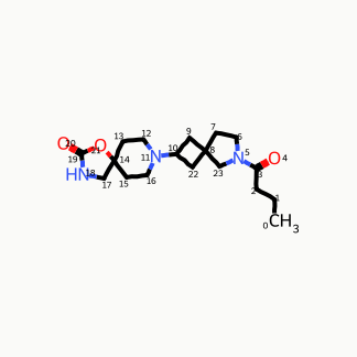 CCCC(=O)N1CCC2(CC(N3CCC4(CC3)CNC(=O)O4)C2)C1